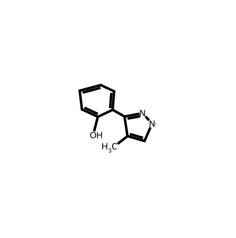 CC1=C[N]N=C1c1ccccc1O